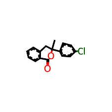 CC1(c2ccc(Cl)cc2)Cc2ccccc2C(=O)O1